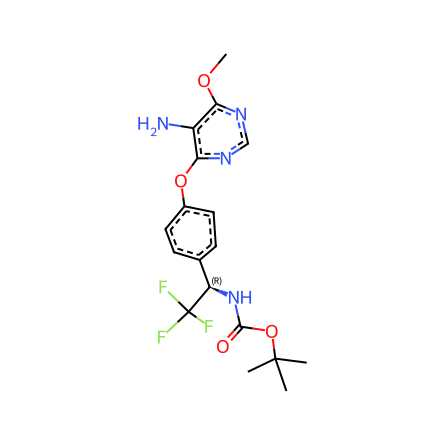 COc1ncnc(Oc2ccc([C@@H](NC(=O)OC(C)(C)C)C(F)(F)F)cc2)c1N